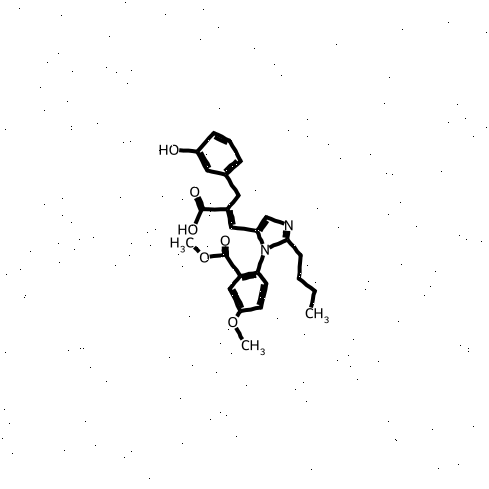 CCCCc1ncc(/C=C(\Cc2cccc(O)c2)C(=O)O)n1-c1ccc(OC)cc1C(=O)OC